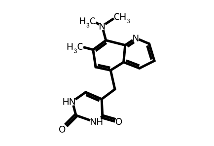 Cc1cc(Cc2c[nH]c(=O)[nH]c2=O)c2cccnc2c1N(C)C